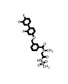 CN(CC(=O)NS(C)(=O)=O)C(=O)c1cccc(COc2ccc(-c3ccc(F)c(F)c3)c(F)c2)c1